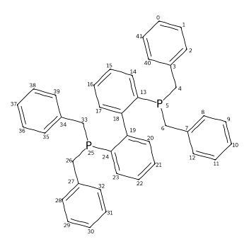 c1ccc(CP(Cc2ccccc2)c2ccccc2-c2ccccc2P(Cc2ccccc2)Cc2ccccc2)cc1